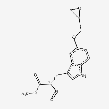 COC(=O)[C@H](Cc1c[nH]c2ccc(OCC3CO3)cc12)N=O